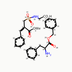 COC(=O)C(=Cc1ccccc1)CS(=O)(=O)NCC(=O)O.NC(Cc1ccccc1)C(=O)OCc1ccccc1